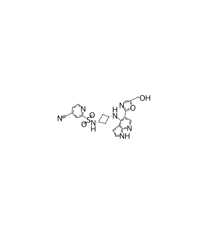 N#Cc1ccnc(S(=O)(=O)N[C@H]2C[C@@H](Nc3c(-c4ncc(CO)o4)cnc4[nH]ccc34)C2)c1